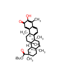 CC1=C(O)C(=O)C=C2C1=CC=C1[C@@]2(C)CC[C@@]2(C)[C@@H]3C[C@](C)(C(=O)OCC(C)C)CC[C@]3(C)CC[C@]12C